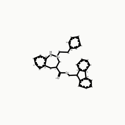 O=C(OCC1c2ccccc2-c2ccccc21)C1Cc2ccccc2NN(CCc2ccccc2)C1